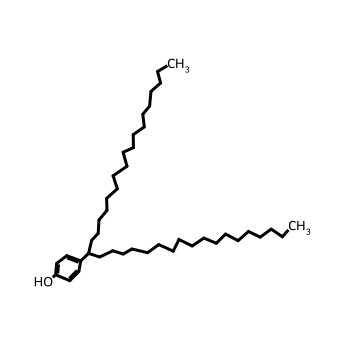 CCCCCCCCCCCCCCCCCCC(CCCCCCCCCCCCCCCCCC)c1ccc(O)cc1